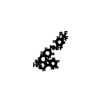 FC(F)(F)c1ccc(NN=C2CCC3(CC2)CC[C@@H]2NCCc4c2n3c2ccccc42)cc1